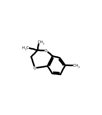 Cc1ccc2c(c1)OC(C)(C)CO2